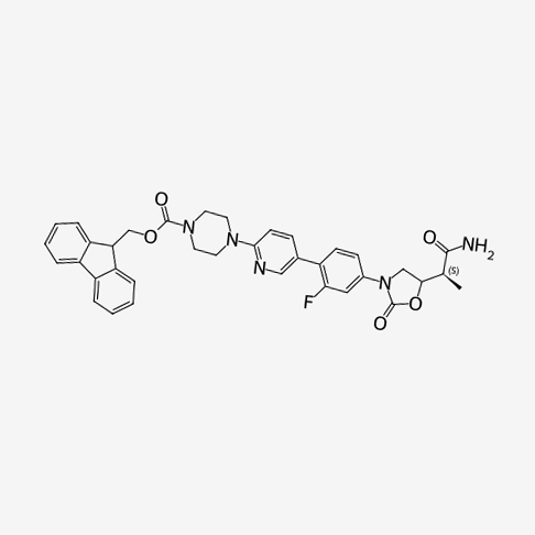 C[C@H](C(N)=O)C1CN(c2ccc(-c3ccc(N4CCN(C(=O)OCC5c6ccccc6-c6ccccc65)CC4)nc3)c(F)c2)C(=O)O1